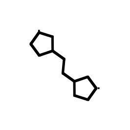 [CH]1CCC(CCC2C[CH]CC2)C1